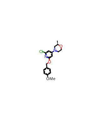 COc1ccc(COc2cc(N3CCO[C@H](C)C3)cc(Cl)n2)cc1